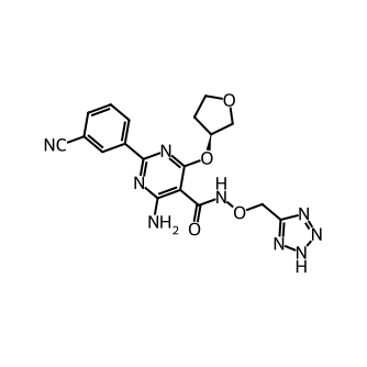 N#Cc1cccc(-c2nc(N)c(C(=O)NOCc3nn[nH]n3)c(O[C@H]3CCOC3)n2)c1